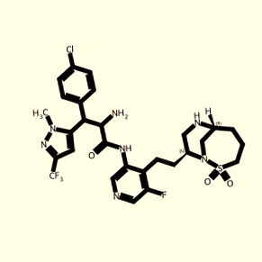 Cn1nc(C(F)(F)F)cc1C(c1ccc(Cl)cc1)C(N)C(=O)Nc1cncc(F)c1CC[C@H]1CN[C@@H]2CCCS(=O)(=O)N1C2